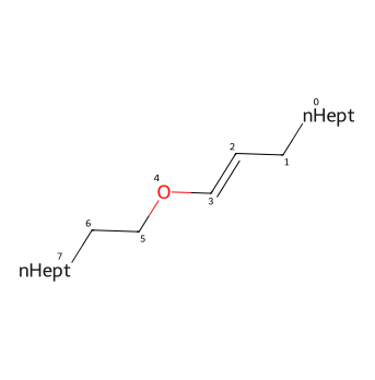 CCCCCCCCC=COCCCCCCCCC